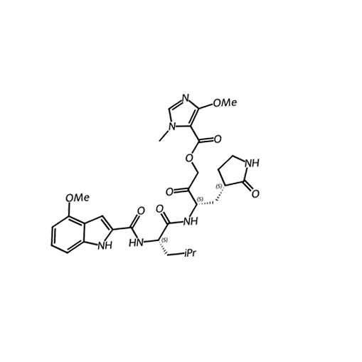 COc1ncn(C)c1C(=O)OCC(=O)[C@H](C[C@@H]1CCNC1=O)NC(=O)[C@H](CC(C)C)NC(=O)c1cc2c(OC)cccc2[nH]1